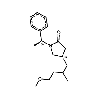 COCCC(C)C[C@H]1CC(=O)N([C@@H](C)c2ccccc2)C1